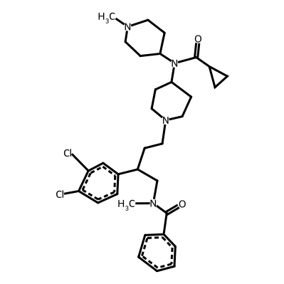 CN1CCC(N(C(=O)C2CC2)C2CCN(CCC(CN(C)C(=O)c3ccccc3)c3ccc(Cl)c(Cl)c3)CC2)CC1